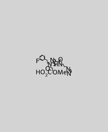 CC(=O)O.COCCC(=O)N(CCc1cccc(F)c1)c1ncc(C(=O)NCCCn2ccnc2)s1